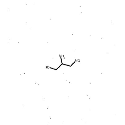 NC(CO)CN=O